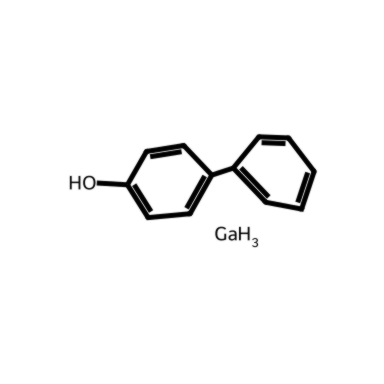 Oc1ccc(-c2ccccc2)cc1.[GaH3]